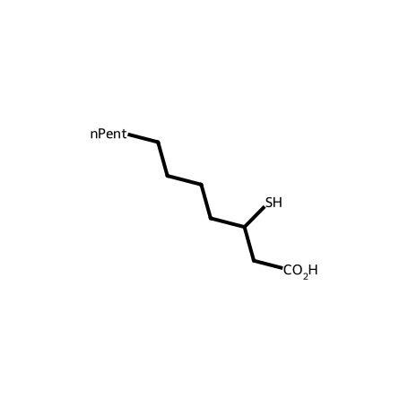 CCCCCCCCCC(S)CC(=O)O